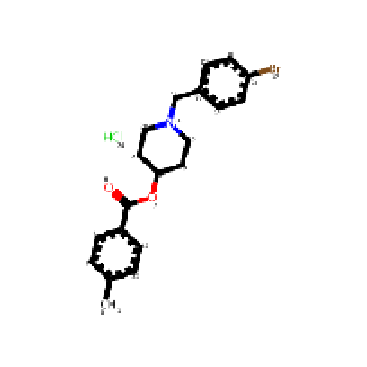 Cc1ccc(C(=O)OC2CCN(Cc3ccc(Br)cc3)CC2)cc1.Cl